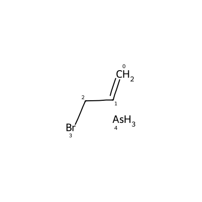 C=CCBr.[AsH3]